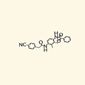 Cc1c(NC(=O)Cc2ccc(C#N)cc2)ccc(NS(=O)(=O)c2ccccc2)c1C